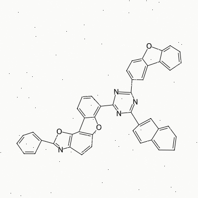 c1ccc(-c2nc3ccc4oc5c(-c6nc(-c7ccc8ccccc8c7)nc(-c7ccc8oc9ccccc9c8c7)n6)cccc5c4c3o2)cc1